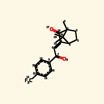 CC12CCC(/C(=C\C(=O)c3ccc(C(F)(F)F)cc3)C1=O)C2(C)C